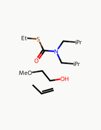 C=CC.CCSC(=O)N(CC(C)C)CC(C)C.COCCO